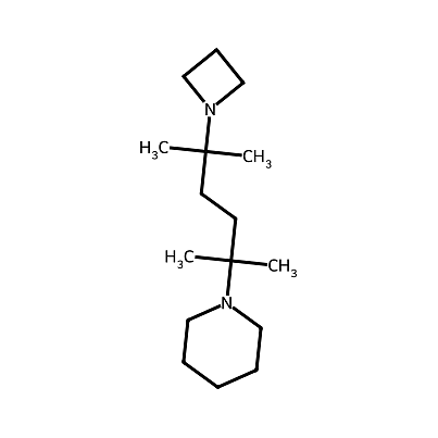 CC(C)(CCC(C)(C)N1CCC1)N1CCCCC1